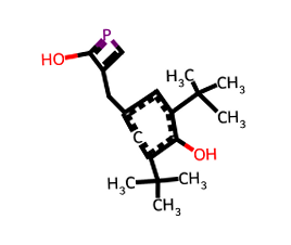 CC(C)(C)c1cc(CC2=CP=C2O)cc(C(C)(C)C)c1O